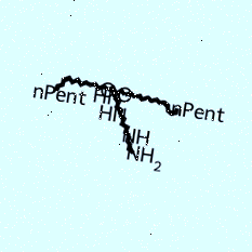 CCCCC/C=C\C/C=C\CCCCCCCCOCC(COCCCCCCCC/C=C\C/C=C\CCCCC)NCCCNCCCCNCCCN